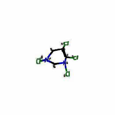 ClC1=C(Cl)N(Cl)CN(Cl)C1